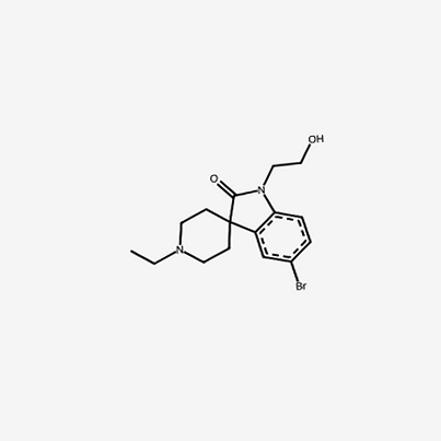 CCN1CCC2(CC1)C(=O)N(CCO)c1ccc(Br)cc12